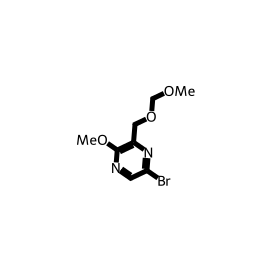 COCOCc1nc(Br)cnc1OC